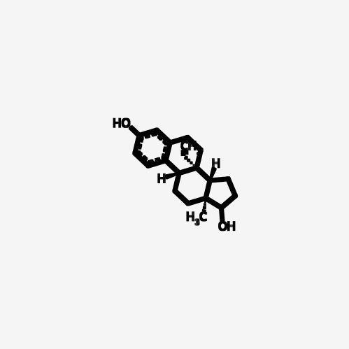 C=C[C@@]12CCc3cc(O)ccc3[C@H]1CC[C@]1(C)C(O)CC[C@@H]21